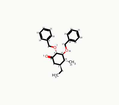 CC[C@H]1CC(=O)[C@H](OCc2ccccc2)[C@@H](OCc2ccccc2)[C@@H]1C